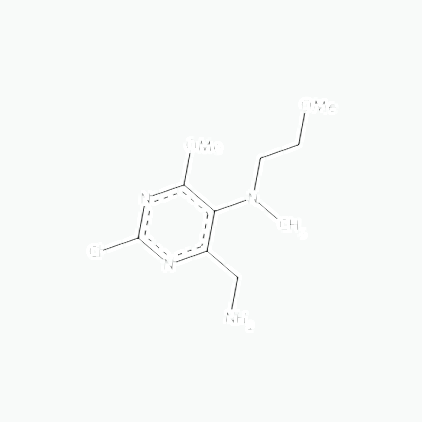 COCCN(C)c1c(CN)nc(Cl)nc1OC